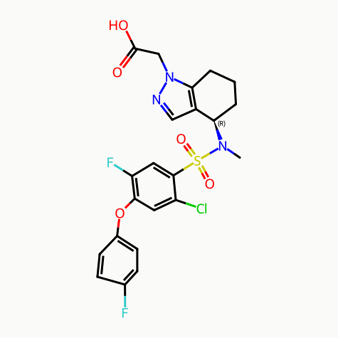 CN([C@@H]1CCCc2c1cnn2CC(=O)O)S(=O)(=O)c1cc(F)c(Oc2ccc(F)cc2)cc1Cl